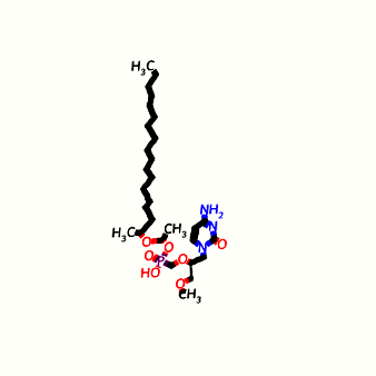 CCCCCCCCCCCCCCCCC(C)OC(C)OP(=O)(O)CO[C@H](COC)Cn1ccc(N)nc1=O